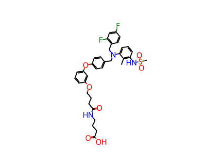 Cc1c(NS(C)(=O)=O)cccc1N(Cc1ccc(Oc2cccc(OCCCC(=O)NCCCC(=O)O)c2)cc1)Cc1ccc(F)cc1F